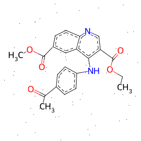 CCOC(=O)c1cnc2ccc(C(=O)OC)cc2c1Nc1ccc(C(C)=O)cc1